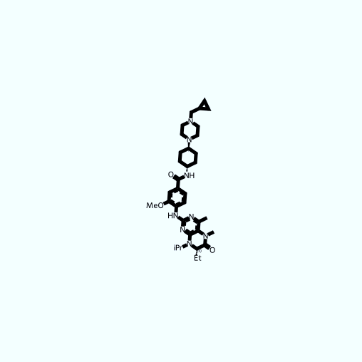 CC[C@H]1C(=O)N(C)c2c(C)nc(Nc3ccc(C(=O)N[C@H]4CC[C@H](N5CCN(CC6CC6)CC5)CC4)cc3OC)nc2N1C(C)C